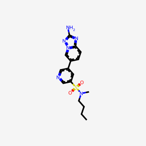 CCCCN(C)S(=O)(=O)c1cncc(-c2ccc3nc(N)nn3c2)c1